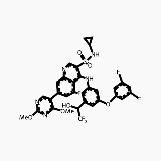 COc1ncc(-c2cc(F)c3c(Nc4cc(Oc5cc(F)cc(F)c5)cc(C(O)C(F)(F)F)c4)c(S(=O)(=O)NC4CC4)cnc3c2)c(OC)n1